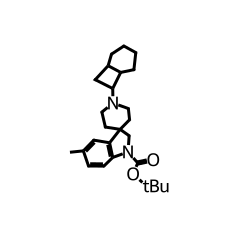 Cc1ccc2c(c1)C1(CCN(C3CC4CCCCC43)CC1)CN2C(=O)OC(C)(C)C